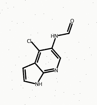 O=CNc1cnc2[nH]ccc2c1Cl